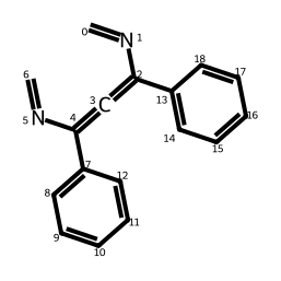 C=NC(=C=C(N=C)c1ccccc1)c1ccccc1